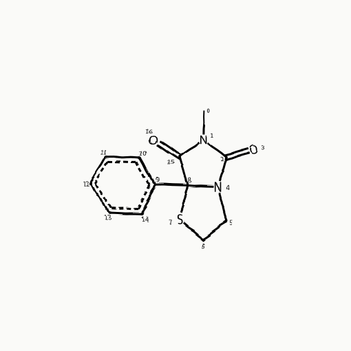 CN1C(=O)N2CCSC2(c2ccccc2)C1=O